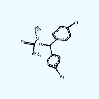 CC(C)(C)OC(N)=O.CCC(c1ccc(Cl)cc1)c1ccc(Br)cc1